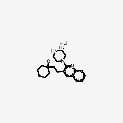 Cl.Cl.OC1(CCc2cc3ccccc3nc2N2CCNCC2)CCCCC1